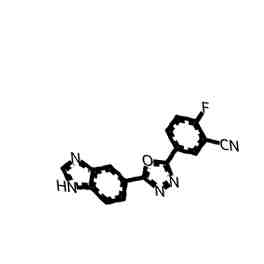 N#Cc1cc(-c2nnc(-c3ccc4[nH]cnc4c3)o2)ccc1F